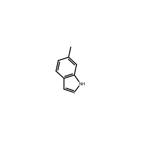 Cc1ccc2c(c1)NI=C2